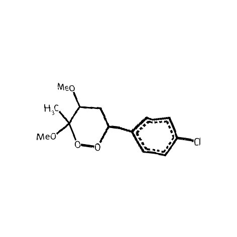 COC1CC(c2ccc(Cl)cc2)OOC1(C)OC